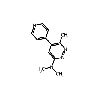 Cc1nnc(N(C)C)cc1-c1ccncc1